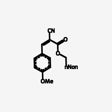 CCCCCCCCCCOC(=O)C(C#N)=Cc1ccc(OC)cc1